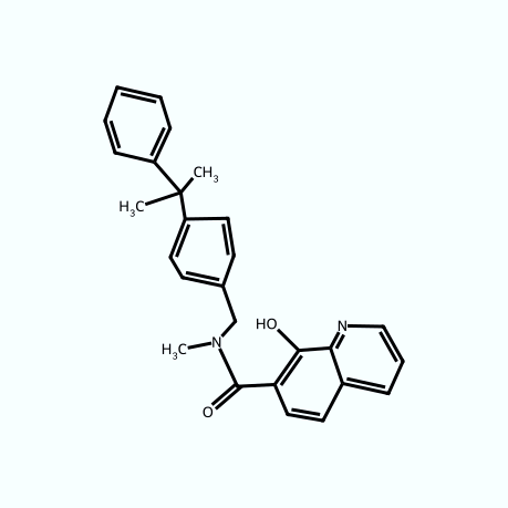 CN(Cc1ccc(C(C)(C)c2ccccc2)cc1)C(=O)c1ccc2cccnc2c1O